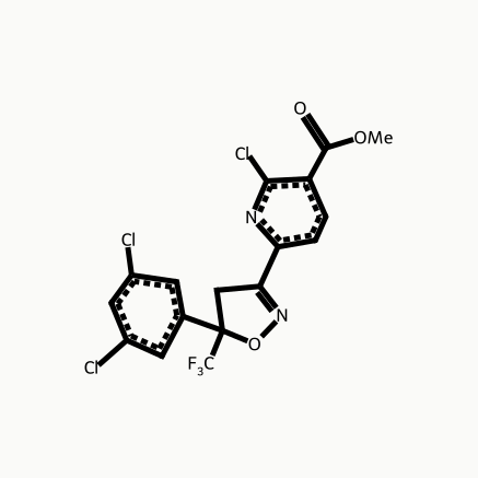 COC(=O)c1ccc(C2=NOC(c3cc(Cl)cc(Cl)c3)(C(F)(F)F)C2)nc1Cl